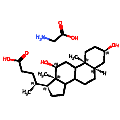 C[C@H](CCC(=O)O)[C@H]1CCC2C3CC[C@@H]4C[C@H](O)CC[C@]4(C)C3C[C@H](O)[C@@]21C.NCC(=O)O